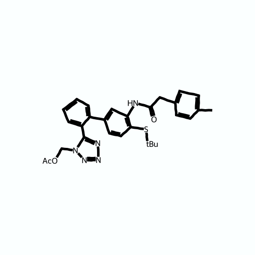 CC(=O)OCn1nnnc1-c1ccccc1-c1ccc(SC(C)(C)C)c(NC(=O)Cc2ccc(C)cc2)c1